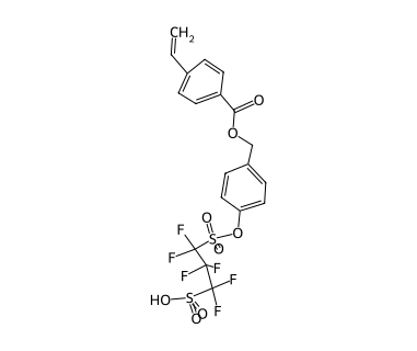 C=Cc1ccc(C(=O)OCc2ccc(OS(=O)(=O)C(F)(F)C(F)(F)C(F)(F)S(=O)(=O)O)cc2)cc1